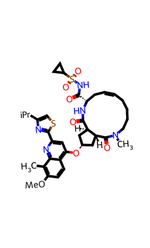 COc1ccc2c(O[C@@H]3C[C@H]4C(=O)N[C@H](C(=O)NS(=O)(=O)C5CC5)C/C=C\CCCCN(C)C(=O)[C@@H]4C3)cc(-c3nc(C(C)C)cs3)nc2c1C